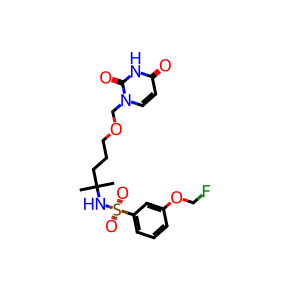 CC(C)(CCCOCn1ccc(=O)[nH]c1=O)NS(=O)(=O)c1cccc(OCF)c1